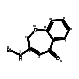 CCNC1=CC(=O)c2ccccc2OC1